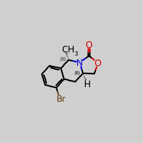 C[C@H]1c2cccc(Br)c2C[C@@H]2COC(=O)N21